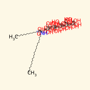 CCCCCCCCCCCCC/C=C/[C@@H](O)[C@H](CO[C@@H]1OC(CO)[C@@H](O[C@@H]2OC(CO)[C@H](O[C@@H]3OC(CO)[C@H](O)[C@H](O[C@H]4OC(CO)[C@H](O)[C@H](O[C@H]5OC(CO)[C@H](O)[C@H](O)C5O)C4O)C3O)[C@H](O)C2O)[C@H](O)C1O)NC(=O)CCCCCCCCCCCCCCCCCCCCCCCCC